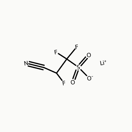 N#CC(F)C(F)(F)S(=O)(=O)[O-].[Li+]